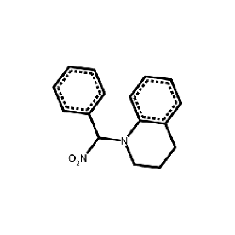 O=[N+]([O-])C(c1ccccc1)N1CCCc2ccccc21